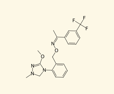 COC1=NN(C)CN1c1ccccc1CON=C(C)c1cccc(C(F)(F)F)c1